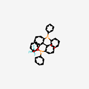 FC(F)(F)Oc1cccc(P(c2ccccc2)c2ccccc2)c1-c1ccccc1P(c1ccccc1)c1ccccc1